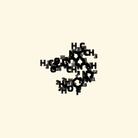 [2H]C([2H])([2H])O[C@H]1CCN(c2nccc(Nc3cc4c(C(C)C)cnc(N5C[C@H](CS(C)(=O)=O)[C@H]5C)c4cn3)n2)C[C@H]1F